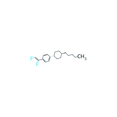 CCCCC[C@H]1CC[C@H](c2ccc(C(F)=CF)cc2)CC1